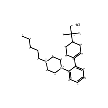 CCCCCN1CCN(c2ccccc2C2=CCC(C(C)(C)C)CC2)CC1.Cl